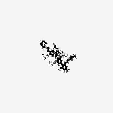 C=CCCCCc1cc(F)cc(C)c1-c1cc([C@H](CC(=O)OCC)NC(=O)[C@H](CC=C)n2cc(CCN3CCOCC3)c(C(F)(F)F)cc2=O)c(F)c(C(F)(F)F)c1